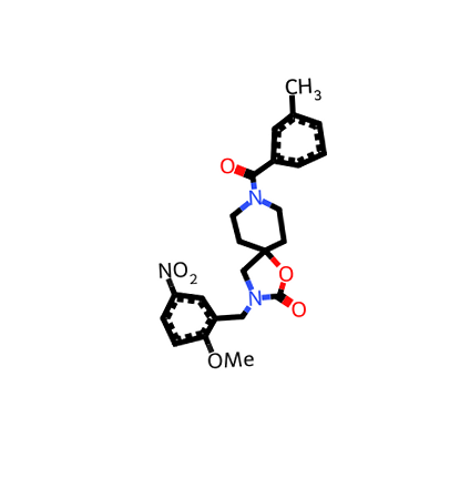 COc1ccc([N+](=O)[O-])cc1CN1CC2(CCN(C(=O)c3cccc(C)c3)CC2)OC1=O